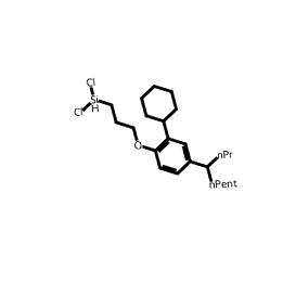 CCCCCC(CCC)c1ccc(OCCC[SiH](Cl)Cl)c(C2CCCCC2)c1